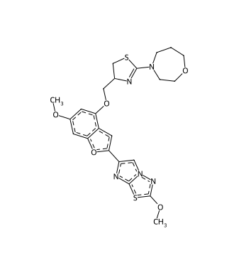 COc1cc(OCC2CSC(N3CCCOCC3)=N2)c2cc(-c3cn4nc(OC)sc4n3)oc2c1